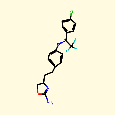 NC1=NC(CCc2ccc(N[C@@H](c3ccc(Cl)cc3)C(F)(F)F)cc2)CO1